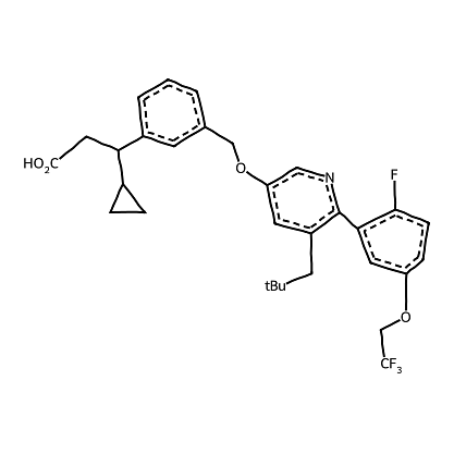 CC(C)(C)Cc1cc(OCc2cccc(C(CC(=O)O)C3CC3)c2)cnc1-c1cc(OCC(F)(F)F)ccc1F